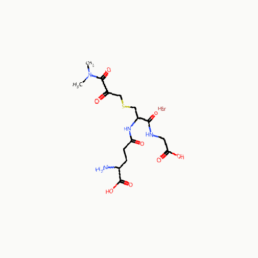 Br.CN(C)C(=O)C(=O)CSCC(NC(=O)CCC(N)C(=O)O)C(=O)NCC(=O)O